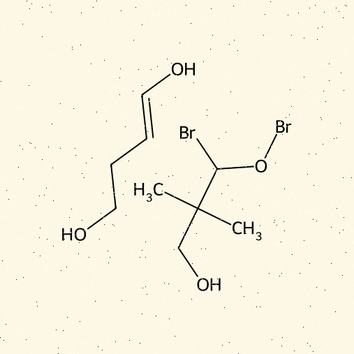 CC(C)(CO)C(Br)OBr.OC=CCCO